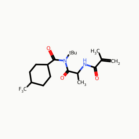 C=C(C)C(=O)NC(C)C(=O)N(C(=O)C1CCC(C(F)(F)F)CC1)C(C)(C)C